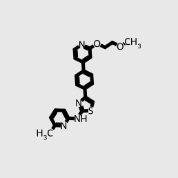 COCCOc1cc(-c2ccc(-c3csc(Nc4cccc(C)n4)n3)cc2)ccn1